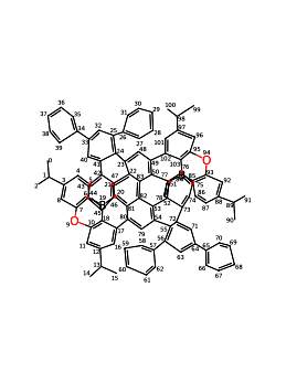 CC(C)c1ccc2c(c1)Oc1cc(C(C)C)cc3c1B2c1cc2c(-c4c(-c5ccccc5)cc(-c5ccccc5)cc4-c4ccccc4)cc4c5c(cc6c(-c7c(-c8ccccc8)cc(-c8ccccc8)cc7-c7ccccc7)cc-3c1c6c25)B1c2ccc(C(C)C)cc2Oc2cc(C(C)C)cc-4c21